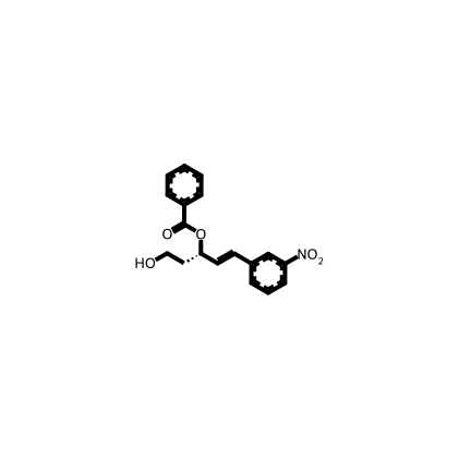 O=C(O[C@H](/C=C/c1cccc([N+](=O)[O-])c1)CCO)c1ccccc1